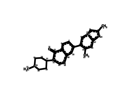 Cc1cn2cc(-c3ccc4c(=O)n(C5CCN(C)CC5)cnc4c3)c(C)cc2n1